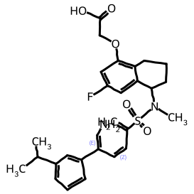 C=C(/C=C\C(=C/N)c1cccc(C(C)C)c1)S(=O)(=O)N(C)C1CCCc2c(OCC(=O)O)cc(F)cc21